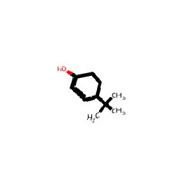 CC(C)(C)C1C=CC(O)CC1